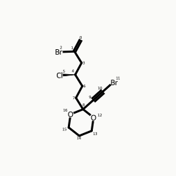 C=C(Br)C[C@H](Cl)CCC1(C#CBr)OCCCO1